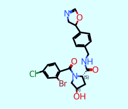 O=C(NCc1ccc(C2CN=CO2)cc1)[C@@H]1C[C@@H](O)CN1C(=O)c1ccc(Cl)cc1Br